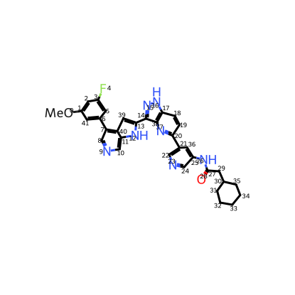 COc1cc(F)cc(-c2cncc3[nH]c(-c4n[nH]c5ccc(-c6cncc(NC(=O)CC7CCCCC7)c6)nc45)cc23)c1